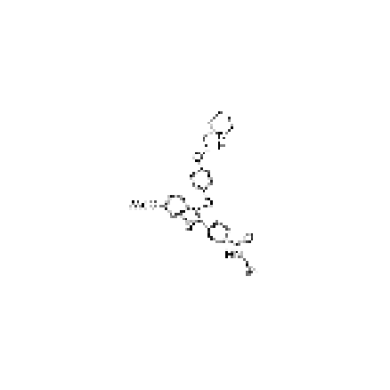 COc1ccc2c(Oc3ccc(OCCC4CCCCN4)cc3)c(-c3ccc(C(=O)NCC(C)C)cc3)sc2c1